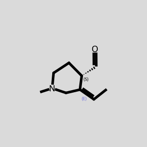 C/C=C1/CN(C)CC[C@@H]1C=O